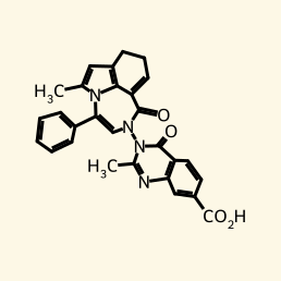 Cc1cc2c3n1C(c1ccccc1)=CN(n1c(C)nc4cc(C(=O)O)ccc4c1=O)C(=O)C3=CCC2